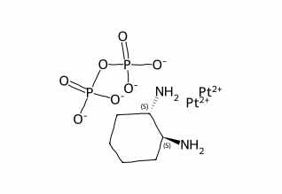 N[C@H]1CCCC[C@@H]1N.O=P([O-])([O-])OP(=O)([O-])[O-].[Pt+2].[Pt+2]